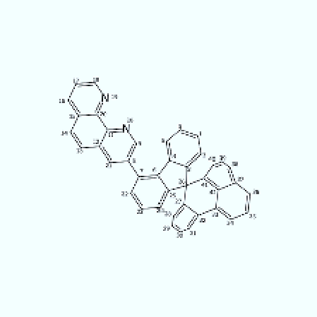 c1ccc2c(c1)-c1c(-c3cnc4c(ccc5cccnc54)c3)cccc1C21c2ccccc2-c2cccc3cccc1c23